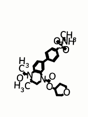 CNS(=O)(=O)c1ccc(-c2ccc3c(c2)N(C(=O)OC2CCOCC2)CC(C)N3C(C)=O)cc1